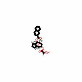 CC(C)C12C[C@@H](OC(=O)[C@H](C)O)[C@@](C)(O1)[C@@H]1CC[C@@H](C)[C@H]1C2OC(=O)c1ccc2ccccc2c1